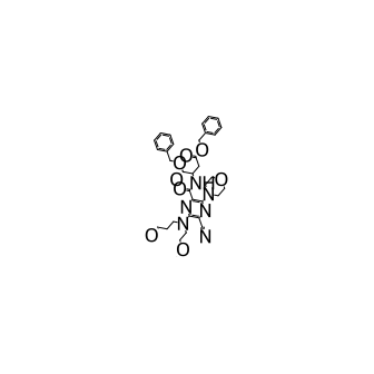 COCCN(CCC=O)c1nc(C(=O)NC(CC(=O)OCc2ccccc2)C(=O)OCc2ccccc2)c(N2CCOCC2)nc1C#N